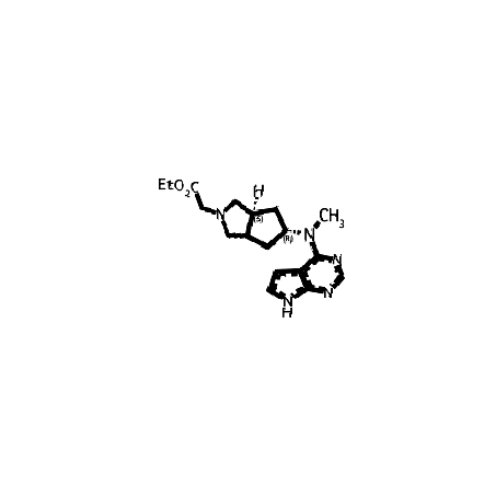 CCOC(=O)CN1CC2C[C@@H](N(C)c3ncnc4[nH]ccc34)C[C@@H]2C1